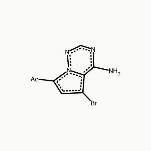 CC(=O)c1cc(Br)c2c(N)ncnn12